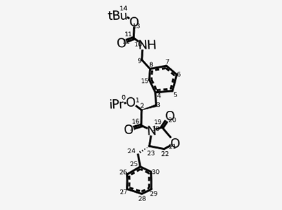 CC(C)O[C@@H](Cc1cccc(CNC(=O)OC(C)(C)C)c1)C(=O)N1C(=O)OC[C@@H]1Cc1ccccc1